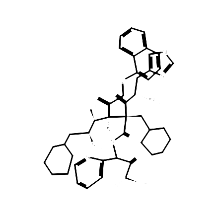 CC[C@H](C)[C@H](N)C(=O)C(NC(=O)[C@@](CC1CCCCC1)(C(=O)[C@@H](N)Cc1c[nH]cn1)[C@](O)(C(=O)COc1cccc2ccccc12)[C@H](O)[C@@H](N)CC1CCCCC1)c1ccccn1